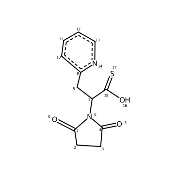 O=C1CCC(=O)N1C(Cc1ccccn1)C(O)=S